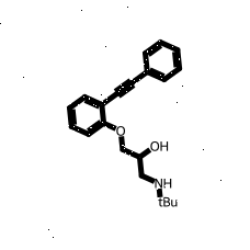 CC(C)(C)NCC(O)COc1ccccc1C#Cc1ccccc1